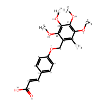 COc1c(C)c(COc2ccc(C=CC(=O)O)cc2)c(OC)c(OC)c1OC